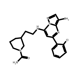 Bc1cnn2c(NCCC3CCCN(C(N)=O)C3)cc(-c3ccccc3Cl)nc12